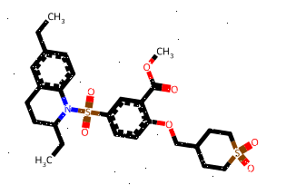 CCc1ccc2c(c1)CCC(CC)N2S(=O)(=O)c1ccc(OCC2CCS(=O)(=O)CC2)c(C(=O)OC)c1